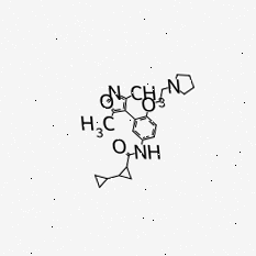 Cc1noc(C)c1-c1cc(NC(=O)C2CC2C2CC2)ccc1OCCN1CCCC1